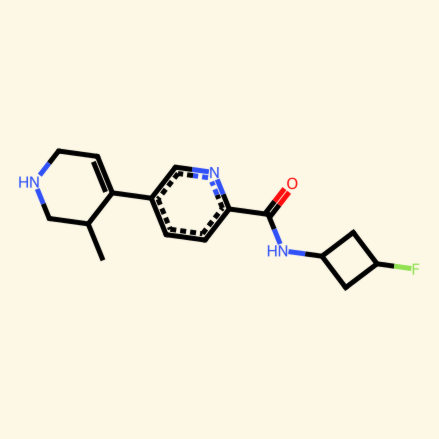 CC1CNCC=C1c1ccc(C(=O)NC2CC(F)C2)nc1